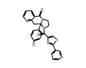 O=C(c1csc(-c2cccnc2)n1)N1CCN2C(=O)c3cccnc3CC12c1ccc(Cl)cc1